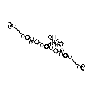 C=CC(=O)OCCCCCCOc1ccc(OC(=O)C2CCC(COc3ccc(OCC4CCC(C(=O)Oc5ccc(OCCCCCCOC(=O)C=C)cc5)CC4)c(/C=N/N(CCO)c4nc5ccccc5s4)c3)CC2)cc1